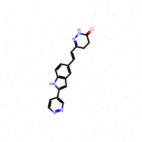 O=C1CCC(/C=C/c2ccc3[nH]c(-c4ccnnc4)cc3c2)=NN1